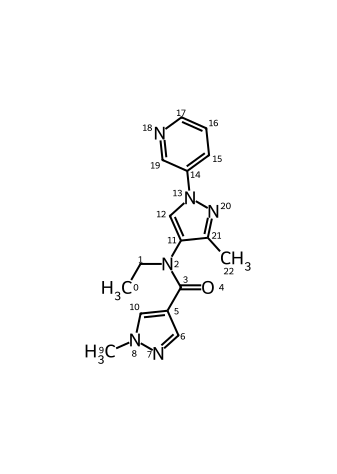 CCN(C(=O)c1cnn(C)c1)c1cn(-c2cccnc2)nc1C